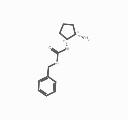 C[C@H]1CCC[C@H]1NC(=O)OCc1ccccc1